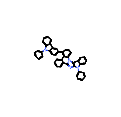 c1ccc(-n2c3ccccc3c3cc(-c4cccc5c4c4ccccc4c4nc6c(c7ccccc7n6-c6ccccc6)n54)ccc32)cc1